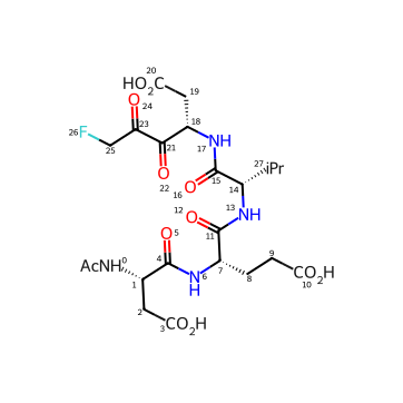 CC(=O)N[C@@H](CC(=O)O)C(=O)N[C@@H](CCC(=O)O)C(=O)N[C@H](C(=O)N[C@@H](CC(=O)O)C(=O)C(=O)CF)C(C)C